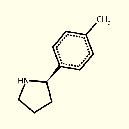 Cc1ccc([C@H]2CCCN2)cc1